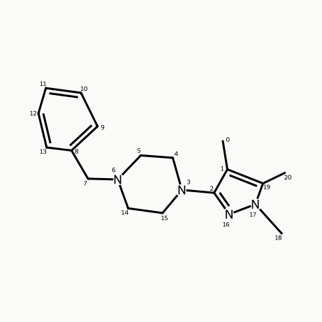 Cc1c(N2CCN(Cc3ccccc3)CC2)nn(C)c1C